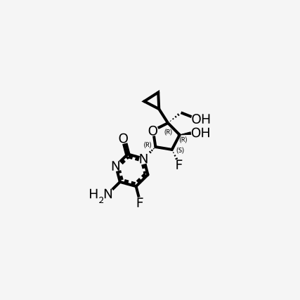 Nc1nc(=O)n([C@@H]2O[C@@](CO)(C3CC3)[C@@H](O)[C@@H]2F)cc1F